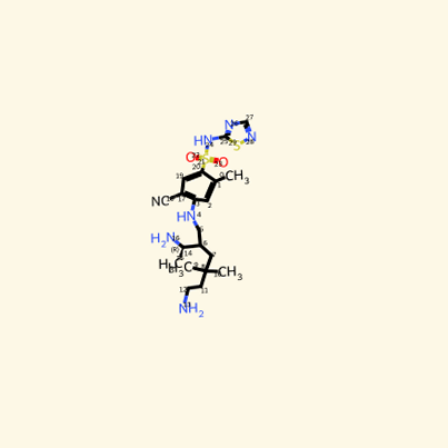 Cc1cc(NCC(CC(C)(C)CCN)[C@@H](C)N)c(C#N)cc1S(=O)(=O)Nc1ncns1